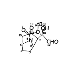 CC(C)(C)OC(=O)N1C2CCC1C(C(O)C=O)C(=O)C2